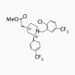 COC(=O)C[C@H]1CCN(Cc2cc(C(F)(F)F)ccc2Cl)[C@@H](C2C=CC(C(F)(F)F)=CC2)C1